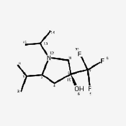 CC(C)C1C[C@@](O)(C(F)(F)F)CN1C(C)C